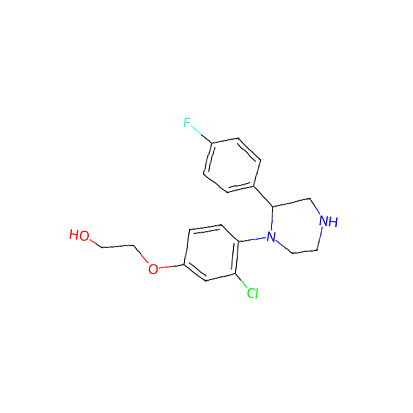 OCCOc1ccc(N2CCNCC2c2ccc(F)cc2)c(Cl)c1